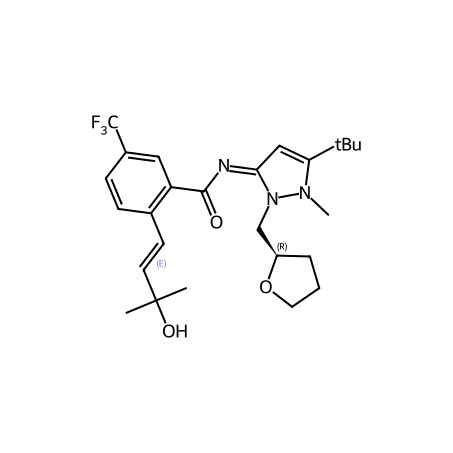 Cn1c(C(C)(C)C)cc(=NC(=O)c2cc(C(F)(F)F)ccc2/C=C/C(C)(C)O)n1C[C@H]1CCCO1